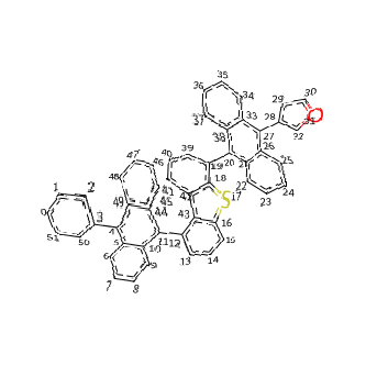 c1ccc(-c2c3ccccc3c(-c3cccc4sc5c(-c6c7ccccc7c(-c7ccoc7)c7ccccc67)cccc5c34)c3ccccc23)cc1